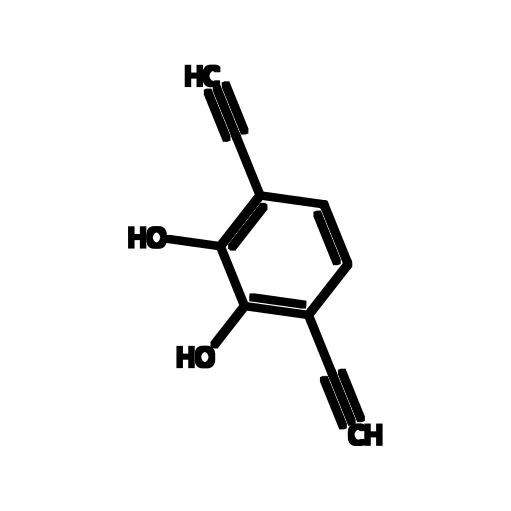 C#Cc1ccc(C#C)c(O)c1O